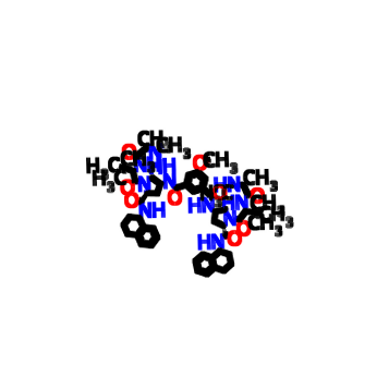 CN[C@@H](C)C(=O)N[C@H](C(=O)N1C[C@@H](NC(=O)c2cc(OC)cc(C(=O)N[C@H]3C[C@@H](C(=O)N[C@@H]4CCCc5ccccc54)N(C(=O)[C@@H](NC(=O)[C@H](C)NC)C(C)(C)C)C3)c2)C[C@H]1C(=O)N[C@@H]1CCCc2ccccc21)C(C)(C)C